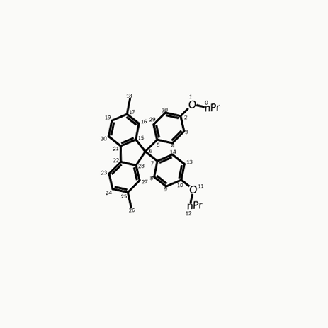 CCCOc1ccc(C2(c3ccc(OCCC)cc3)c3cc(C)ccc3-c3ccc(C)cc32)cc1